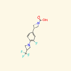 O=C(O)N1CC(c2ccc(N3CC(C(F)(F)F)C3)c(F)c2)C1